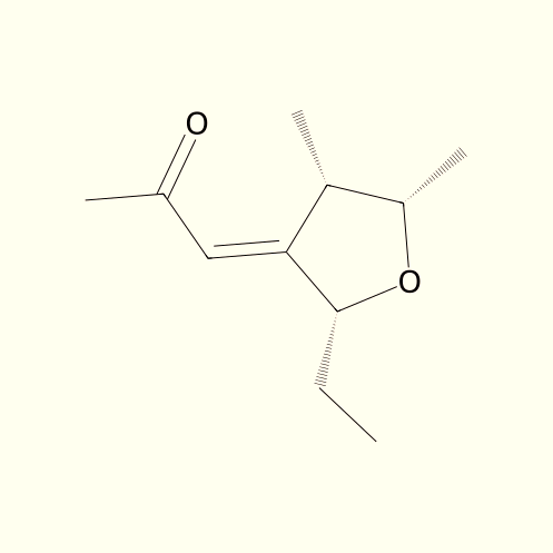 CC[C@H]1O[C@@H](C)[C@@H](C)/C1=C\C(C)=O